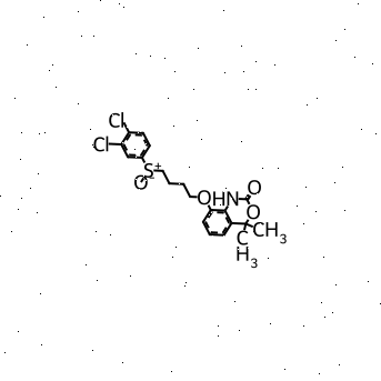 CC1(C)OC(=O)Nc2c(OCCCC[S+]([O-])c3ccc(Cl)c(Cl)c3)cccc21